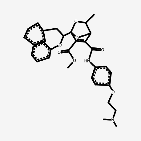 COC(=O)C1=C(C(=O)Nc2ccc(OCCN(C)C)cc2)C2OC1(C(Cc1ccccc1)Oc1ccccc1)OC2C